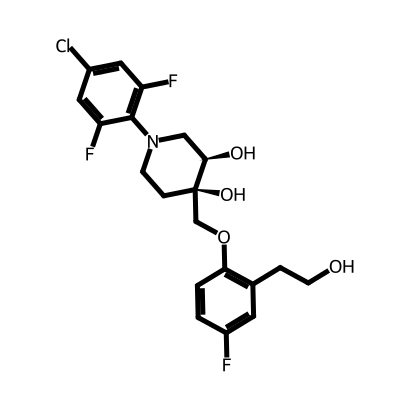 OCCc1cc(F)ccc1OC[C@]1(O)CCN(c2c(F)cc(Cl)cc2F)C[C@H]1O